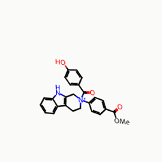 COC(=O)c1ccc([N+]2(C(=O)c3ccc(O)cc3)CCc3c([nH]c4ccccc34)C2)cc1